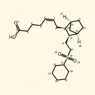 O=C(O)CCC/C=C\C[C@H]1[C@H]2CC[C@H](C2)[C@H]1CCS(=O)(=O)C1CCCCC1